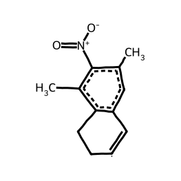 Cc1cc2c(c(C)c1[N+](=O)[O-])CC[C]=C2